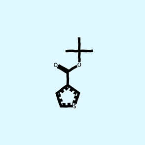 CC(C)(C)OC(=O)c1ccsc1